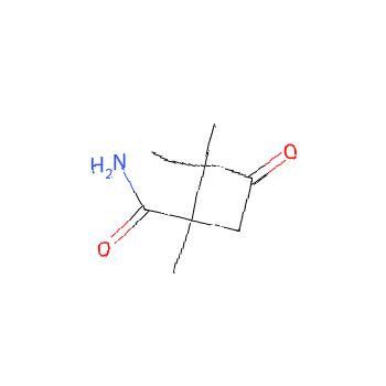 CC1(C)C(=O)CC1(C)C(N)=O